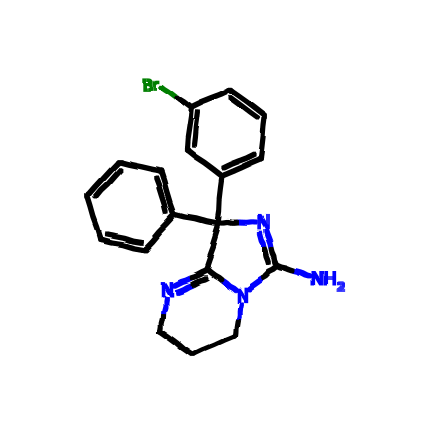 NC1=NC(c2ccccc2)(c2cccc(Br)c2)C2=NCCCN12